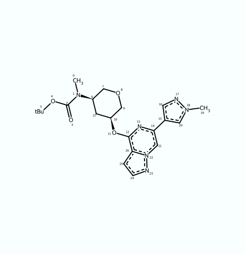 CN(C(=O)OC(C)(C)C)[C@H]1COC[C@@H](Oc2nc(-c3cnn(C)c3)cn3nccc23)C1